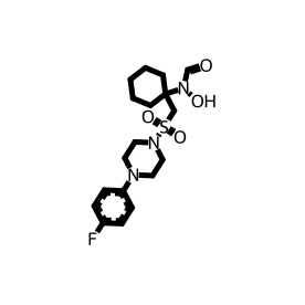 O=CN(O)C1(CS(=O)(=O)N2CCN(c3ccc(F)cc3)CC2)CCCCC1